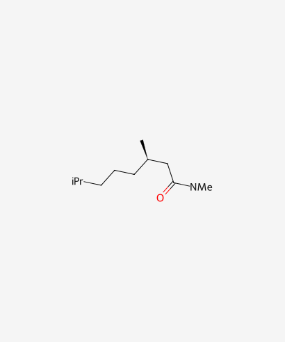 CNC(=O)C[C@H](C)CCCC(C)C